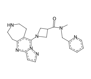 CN(Cc1ccccn1)C(=O)C1CN(c2c3c(nc4ccnn24)CCNCC3)C1